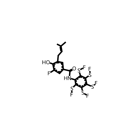 CC(C)=CCc1cc(C(=O)Nc2c(SF)c(SF)c(SF)c(SF)c2SF)cc(F)c1O